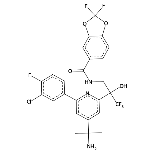 CC(C)(N)c1cc(-c2ccc(F)c(Cl)c2)nc(C(O)(CNC(=O)c2ccc3c(c2)OC(F)(F)O3)C(F)(F)F)c1